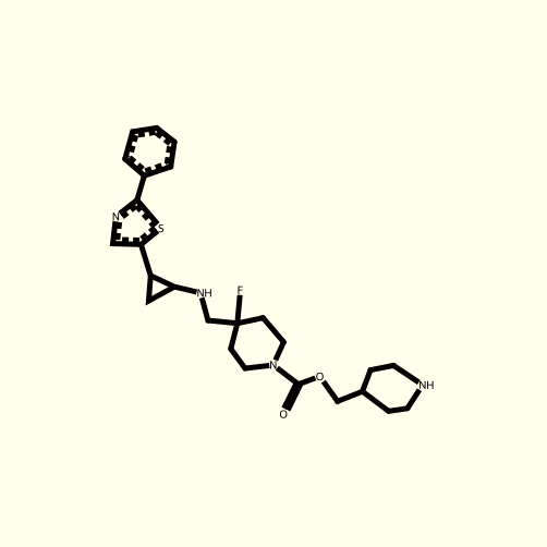 O=C(OCC1CCNCC1)N1CCC(F)(CNC2CC2c2cnc(-c3ccccc3)s2)CC1